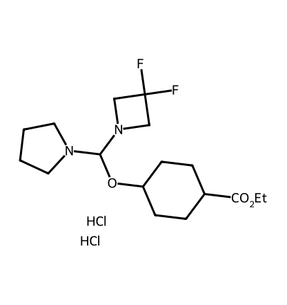 CCOC(=O)C1CCC(OC(N2CCCC2)N2CC(F)(F)C2)CC1.Cl.Cl